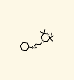 CC1(C)CN(CCNC2CCCCC2)CC(C)(C)N1